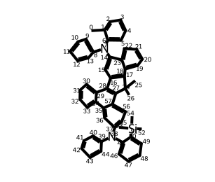 Cc1ccccc1N(c1ccccc1)c1cc2c(c3ccccc13)C(C)(C)c1c-2c2ccccc2c2cc(N(c3ccccc3)c3ccccc3[Si](C)(C)C)ccc12